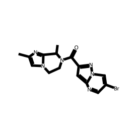 Cc1cn2c(n1)C(C)N(C(=O)c1cc3ncc(Br)cn3n1)CC2